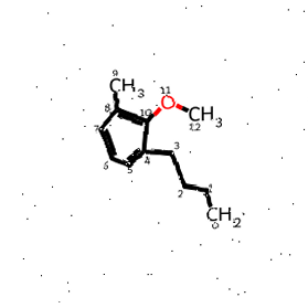 [CH2]CCCc1cccc(C)c1OC